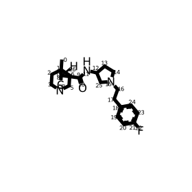 CC12CCN(CC1)C[C@H]2C(=O)NC1CCN(CCc2ccc(F)cc2)C1